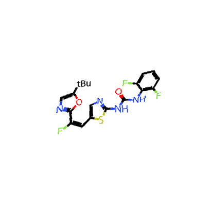 CC(C)(C)c1cnc(/C(F)=C\c2cnc(NC(=O)Nc3c(F)cccc3F)s2)o1